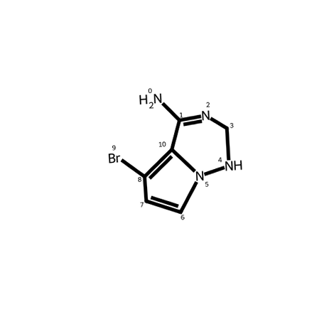 NC1=NCNn2ccc(Br)c21